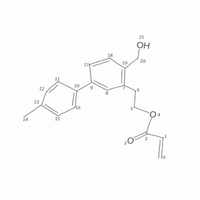 C=CC(=O)OCCc1cc(-c2ccc(C)cc2)ccc1CO